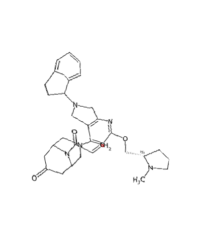 C=CC(=O)N1C2CC(=O)CC1CN(c1nc(OC[C@@H]3CCCN3C)nc3c1CN(C1CCc4ccccc41)C3)C2